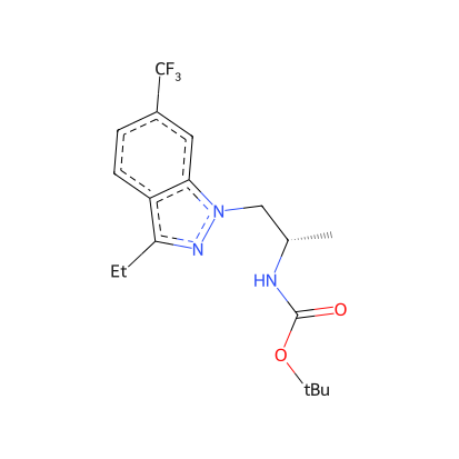 CCc1nn(C[C@H](C)NC(=O)OC(C)(C)C)c2cc(C(F)(F)F)ccc12